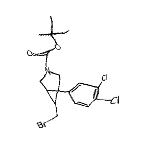 CC(C)(C)OC(=O)N1CC2C(CBr)C2(c2ccc(Cl)c(Cl)c2)C1